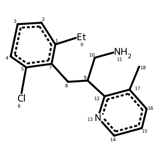 CCc1cccc(Cl)c1CC(CN)c1ncccc1C